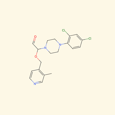 Cc1cnccc1COC(C=O)N1CCN(c2ccc(Cl)cc2Cl)CC1